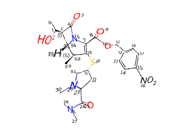 CC(O)[C@H]1C(=O)N2C(C(=O)OCc3ccc([N+](=O)[O-])cc3)=C(SC3CC(C(=O)N(C)C)N(C)C3)[C@@H](C)[C@H]12